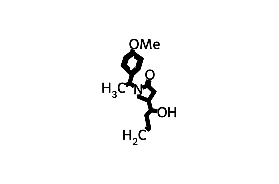 C=CCC(O)C1CC(=O)N(C(C)c2ccc(OC)cc2)C1